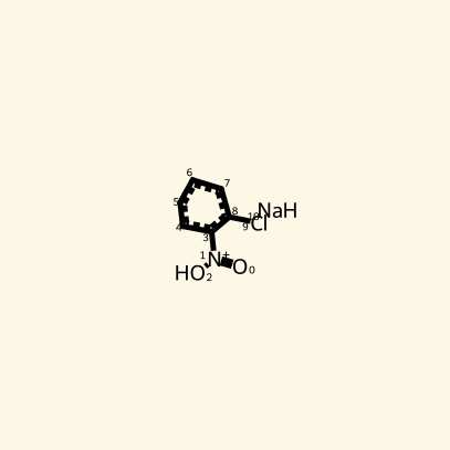 O=[N+](O)c1ccccc1Cl.[NaH]